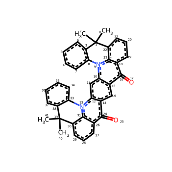 CC1(C)c2ccccc2-n2c3cc4c(cc3c(=O)c3cccc1c32)c(=O)c1cccc2c1n4-c1ccccc1C2(C)C